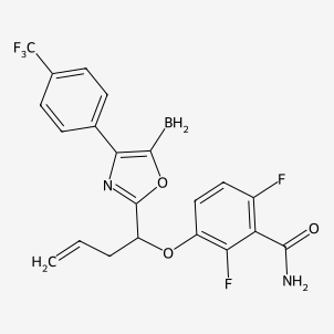 Bc1oc(C(CC=C)Oc2ccc(F)c(C(N)=O)c2F)nc1-c1ccc(C(F)(F)F)cc1